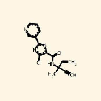 C#CC(C)(C=C)NC(=O)c1sc(-c2cccnc2)nc1Cl